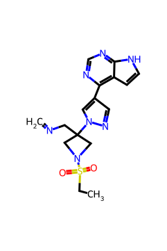 C=NCC1(n2cc(-c3ncnc4[nH]ccc34)cn2)CN(S(=O)(=O)CC)C1